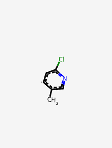 Cc1[c]cc(Cl)nc1